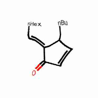 CCCCCCC=C1C(=O)C=CC1CCCC